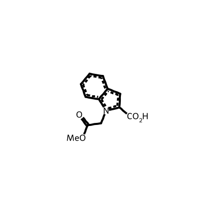 COC(=O)Cn1c(C(=O)O)cc2ccccc21